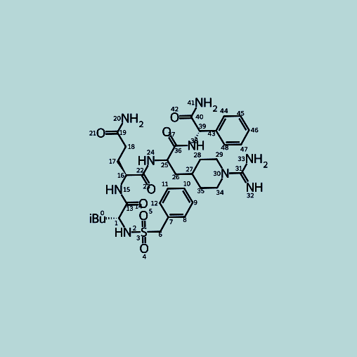 CCC(C)[C@@H](NS(=O)(=O)Cc1ccccc1)C(=O)N[C@@H](CCC(N)=O)C(=O)NC(CC1CCN(C(=N)N)CC1)C(=O)N[C@H](C(N)=O)c1ccccc1